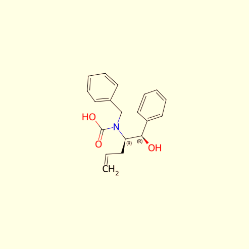 C=CC[C@H]([C@H](O)c1ccccc1)N(Cc1ccccc1)C(=O)O